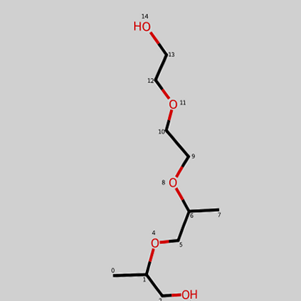 CC(CO)OCC(C)OCCOCCO